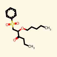 CCCCCOC(CS(=O)(=O)c1ccccc1)C(=O)CCC